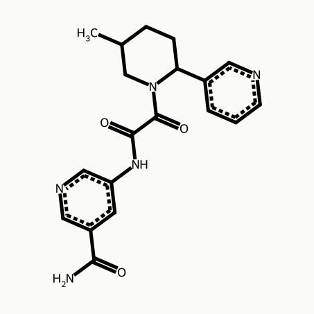 CC1CCC(c2cccnc2)N(C(=O)C(=O)Nc2cncc(C(N)=O)c2)C1